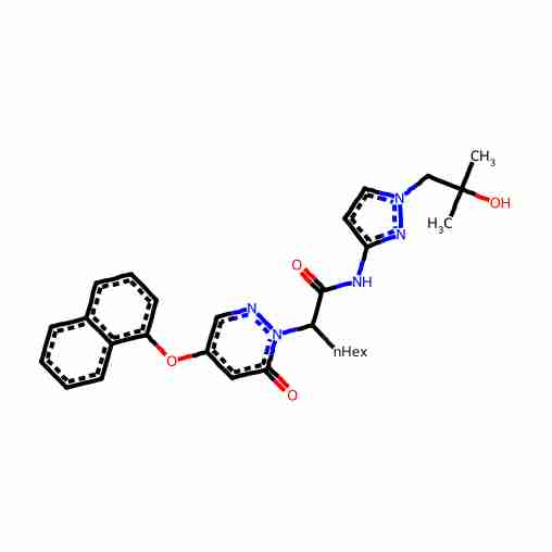 CCCCCCC(C(=O)Nc1ccn(CC(C)(C)O)n1)n1ncc(Oc2cccc3ccccc23)cc1=O